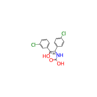 O=C(O)N[C@H](c1ccc(Cl)cc1)[C@@H](O)c1cccc(Cl)c1